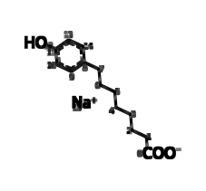 O=C([O-])CCCCCCCc1ccc(O)cc1.[Na+]